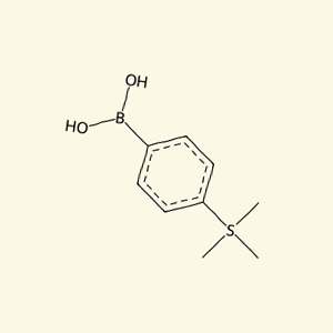 CS(C)(C)c1ccc(B(O)O)cc1